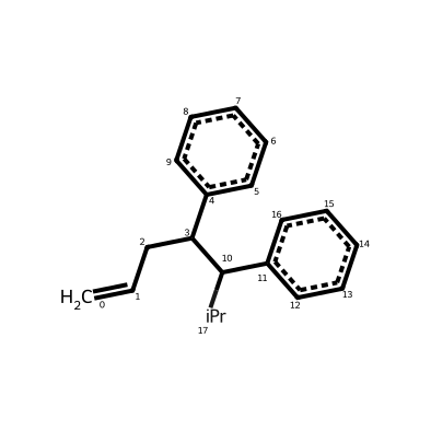 C=CCC(c1ccccc1)C(c1ccccc1)C(C)C